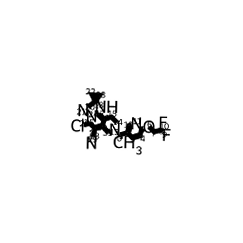 CC(c1ccc(OCC(F)F)nc1)N1CCc2c(NC3(C#N)CC3)nc(Cl)c(C#N)c2C1